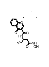 CCCC(CC(=O)NO)NC(=O)c1coc2ccccc2c1=O